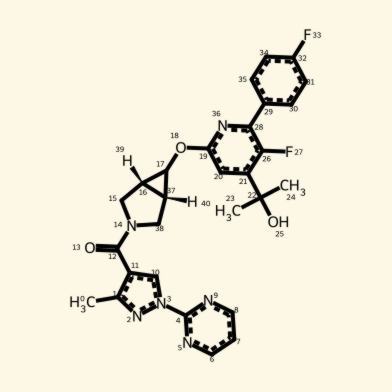 Cc1nn(-c2ncccn2)cc1C(=O)N1C[C@@H]2C(Oc3cc(C(C)(C)O)c(F)c(-c4ccc(F)cc4)n3)[C@@H]2C1